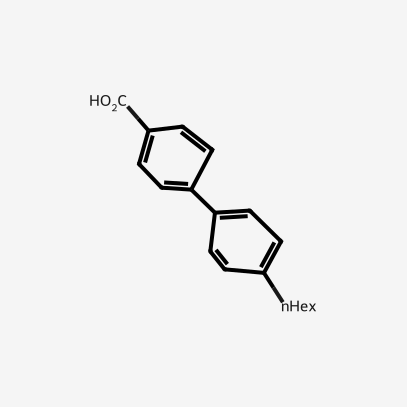 CCCCCCc1ccc(-c2ccc(C(=O)O)cc2)cc1